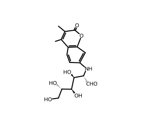 Cc1c(C)c2ccc(N[C@H](C=O)[C@H](O)[C@@H](O)[C@@H](O)CO)cc2oc1=O